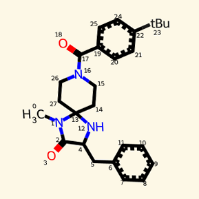 CN1C(=O)C(Cc2ccccc2)NC12CCN(C(=O)c1ccc(C(C)(C)C)cc1)CC2